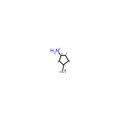 CCC1CC[C@H](N)C1